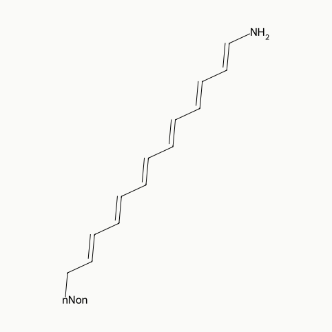 CCCCCCCCCCC=CC=CC=CC=CC=CC=CN